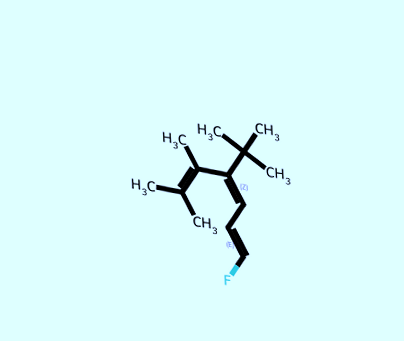 CC(C)=C(C)/C(=C\C=C\F)C(C)(C)C